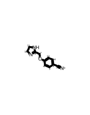 N#Cc1ccc(OCC2=NCCN2)cc1